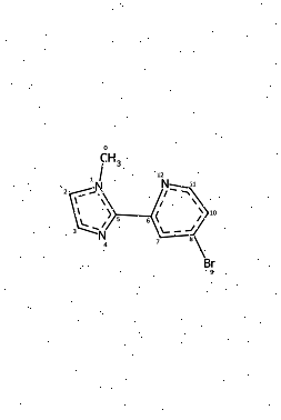 Cn1ccnc1-c1cc(Br)ccn1